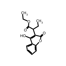 CCOC(=O)C(CC)c1c(O)c2ccccc2oc1=O